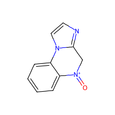 O=[N+]1Cc2nccn2-c2ccccc21